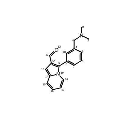 CN(C)Cc1cccc(-c2c(C=O)cc3ccccn23)c1